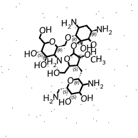 CO[C@@H]1C(O[C@@]2(O)C(O)[C@H](N)CC(N)[C@H]2OC[C@@H]2OC(CO)[C@@H](O)[C@H](O)C2N)OC(CO)[C@@H]1C[C@H]1O[C@@H](CN)[C@@H](O)C(O)C1N